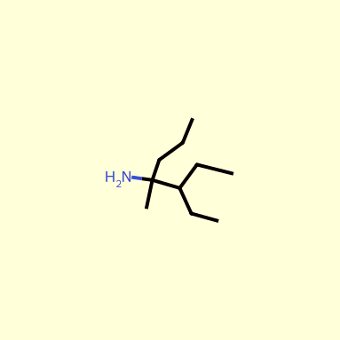 CCCC(C)(N)C(CC)CC